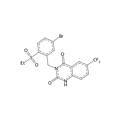 CCS(=O)(=O)c1ccc(Br)cc1Cn1c(=O)[nH]c2ccc(C(F)(F)F)cc2c1=O